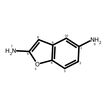 Nc1ccc2oc(N)cc2c1